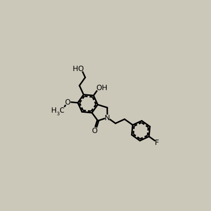 COc1cc2c(c(O)c1CCO)CN(CCc1ccc(F)cc1)C2=O